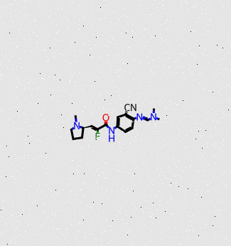 CN(C)/C=N/c1ccc(NC(=O)/C(F)=C/[C@H]2CCCN2C)cc1C#N